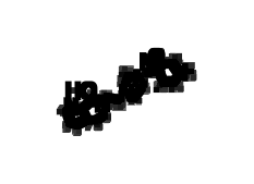 OC1c2ncccc2CCN1CCN1CCN(c2noc3cc(F)ccc23)CC1